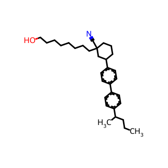 CCCC(C)c1ccc(-c2ccc(C3CCCC(C#N)(CCCCCCCCO)C3)cc2)cc1